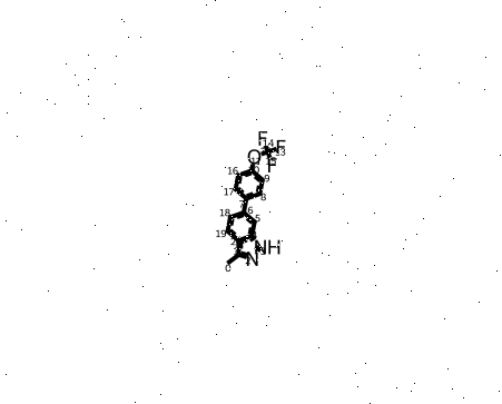 Cc1n[nH]c2cc(-c3ccc(OC(F)(F)F)cc3)ccc12